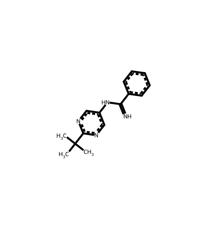 CC(C)(C)c1ncc(NC(=N)c2ccccc2)cn1